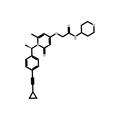 Cc1cc(OCC(=O)NC2CCOCC2)cc(=O)n1[C@H](C)c1ccc(C#CC2CC2)cc1